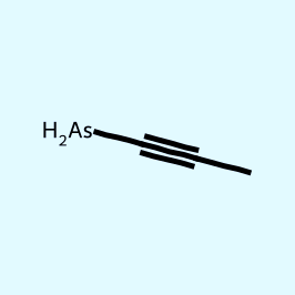 CC#C[AsH2]